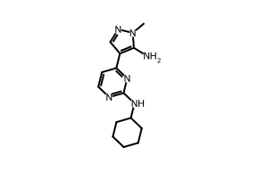 Cn1ncc(-c2ccnc(NC3CCCCC3)n2)c1N